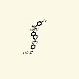 CC(C)c1ccc(NC(=O)Nc2ccc3c(c2)CCN(C(=O)O[C@H]2CC[C@H](CC(=O)O)CC2)C3)cc1